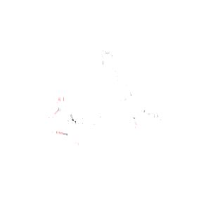 C=C(CC(=O)OCCCC)C(=O)OCCCC.O=C(O)/C=C\C(=O)O